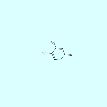 CC1=CC(=O)CC=C1C(=O)O